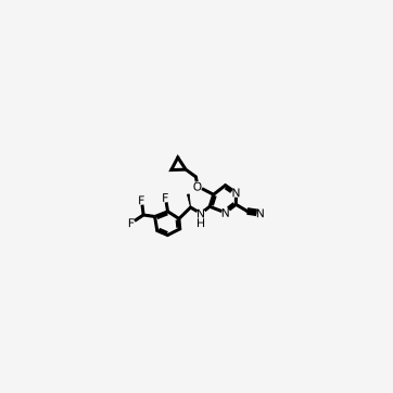 C[C@@H](Nc1nc(C#N)ncc1OCC1CC1)c1cccc(C(F)F)c1F